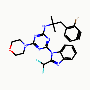 CC(C)(Cc1ccc#cc1Br)Nc1nc(N2CCOCC2)nc(-n2c(C(F)F)nc3ccccc32)n1